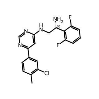 Cc1ccc(-c2cc(NC[C@H](N)c3c(F)cccc3F)ncn2)cc1Cl